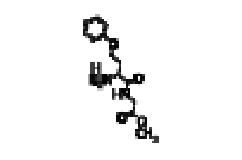 COC(=O)CNC(=O)C(N)CCOc1ccccc1.Cl